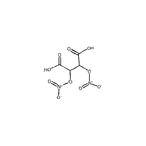 O=C(O)C(O[N+](=O)[O-])C(O[N+](=O)[O-])C(=O)O